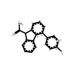 NC(=O)C1c2ccccc2-c2c(-c3ccc(F)nc3)cccc21